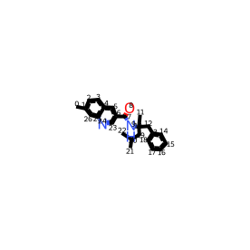 Cc1ccc2cc(C(=O)NC(C)(Cc3ccccc3)CC(C)C)cnc2c1